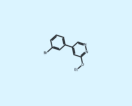 CCOc1cc(-c2cccc(Br)c2)cnn1